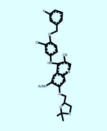 CC(=O)Nc1cc2c(Nc3ccc(OCc4cccc(F)c4)c(Cl)c3)c(C#N)cnc2cc1OCC1COC(C)(C)O1